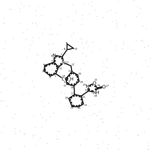 O=C(O)c1cccc2nc(C3CC3)n(Cc3ccc(-c4ccccc4-c4noc(=O)[nH]4)cc3)c12